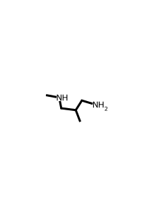 CNCC(C)CN